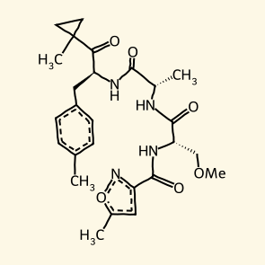 COC[C@H](NC(=O)c1cc(C)on1)C(=O)N[C@@H](C)C(=O)N[C@@H](Cc1ccc(C)cc1)C(=O)C1(C)CC1